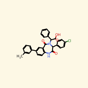 Cc1cccc(-c2ccc3c(c2)C(=O)N(C(C(=O)O)c2ccccc2)C(c2ccc(Cl)cc2)C(=O)N3)c1